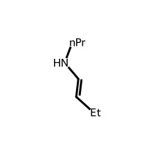 CC/C=C/NCCC